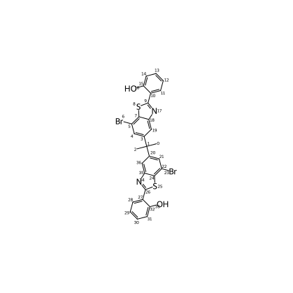 CC(C)(c1cc(Br)c2sc(-c3ccccc3O)nc2c1)c1cc(Br)c2sc(-c3ccccc3O)nc2c1